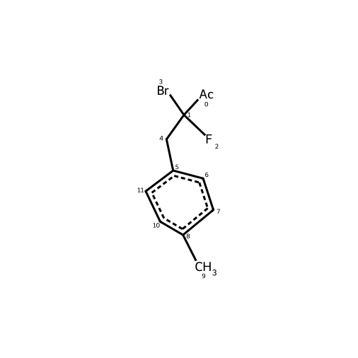 CC(=O)C(F)(Br)Cc1ccc(C)cc1